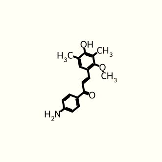 COc1c(C=CC(=O)c2ccc(N)cc2)cc(C)c(O)c1C